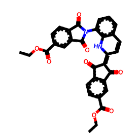 CCOC(=O)c1ccc2c(c1)C(=O)/C(=C1\C=Cc3cccc(N4C(=O)c5ccc(C(=O)OCC)cc5C4=O)c3N1)C2=O